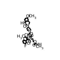 CNC(=O)OCCn1c(=O)c(-c2cccc(F)c2Cl)c(C(C)(C)C)n(CC(=O)N2CCC(N3CCc4cc(OC)ccc4NC3=O)CC2)c1=O